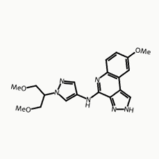 COCC(COC)n1cc(Nc2nc3ccc(OC)cc3c3c[nH]nc23)cn1